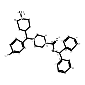 CN1CCC(C(c2ccc(F)cc2)N2CCN(C(=O)NC(c3ccccc3)c3ccccc3)CC2)CC1